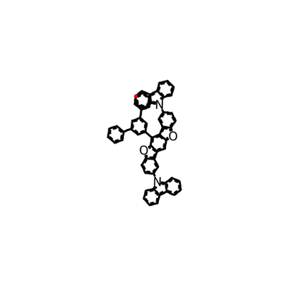 c1ccc(-c2cc(-c3ccccc3)cc(-c3c4oc5ccc(-n6c7ccccc7c7ccccc76)cc5c4cc4oc5ccc(-n6c7ccccc7c7ccccc76)cc5c34)c2)cc1